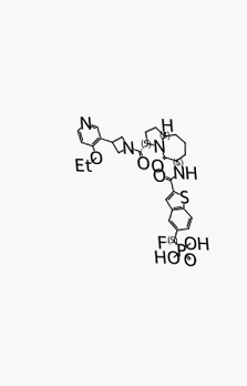 CCOc1ccncc1C1CN(C(=O)[C@@H]2CC[C@@H]3CCC[C@H](NC(=O)c4cc5cc([C@@H](F)P(=O)(O)O)ccc5s4)C(=O)N32)C1